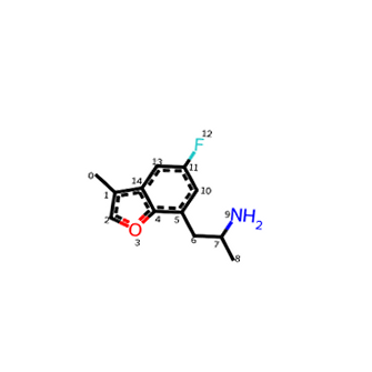 Cc1coc2c(CC(C)N)cc(F)cc12